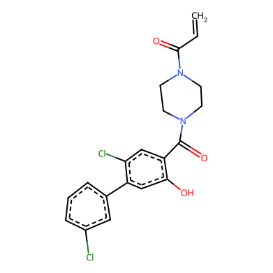 C=CC(=O)N1CCN(C(=O)c2cc(Cl)c(-c3cccc(Cl)c3)cc2O)CC1